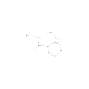 CCN.O=C(NO)c1ccccc1